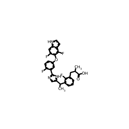 CC(Cc1cccc(C(C)c2cnc(-c3cc(Oc4c(F)cc5[nH]ccc5c4F)ccc3F)[nH]2)c1F)C(=O)O